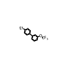 CCc1[c]cc(-c2cccc(OC(F)(F)F)c2)cc1